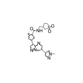 Cn1cc(-c2cnc3c(-c4csc(C(=O)NCC5CCS(=O)(=O)C5)c4)cnn3c2)cn1